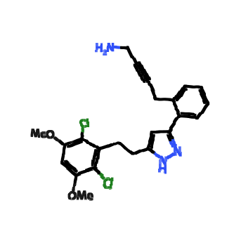 COc1cc(OC)c(Cl)c(CCc2cc(-c3ccccc3CC#CCN)n[nH]2)c1Cl